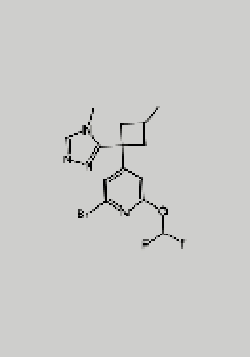 CC1CC(c2cc(Br)nc(OC(F)F)c2)(c2nncn2C)C1